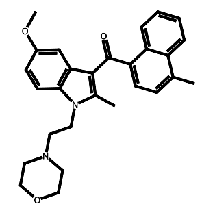 COc1ccc2c(c1)c(C(=O)c1ccc(C)c3ccccc13)c(C)n2CCN1CCOCC1